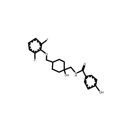 O=C(NCC1(O)CCC(COc2c(F)cccc2F)CC1)c1ccc(O)cc1